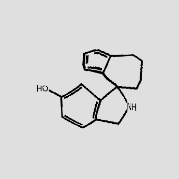 Oc1ccc2c(c1)C1(CCCc3ccccc31)NC2